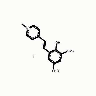 COc1cc(C=O)cc(/C=C/c2cc[n+](C)cc2)c1O.[I-]